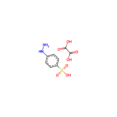 NNc1ccc(S(=O)(=O)O)cc1.O=C(O)C(=O)O